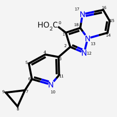 O=C(O)c1c(-c2ccc(C3CC3)nc2)nn2cccnc12